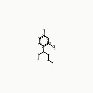 CCCC(CC)c1ccc(C)cc1Cl